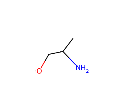 C[C](N)C[O]